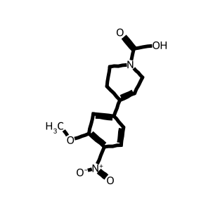 COc1cc(C2=CCN(C(=O)O)CC2)ccc1[N+](=O)[O-]